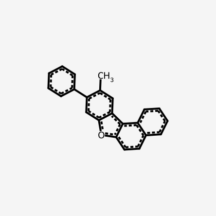 Cc1cc2c(cc1-c1ccccc1)oc1ccc3ccccc3c12